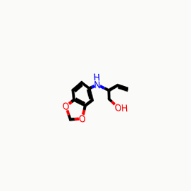 C=CC(CO)Nc1ccc2c(c1)OCO2